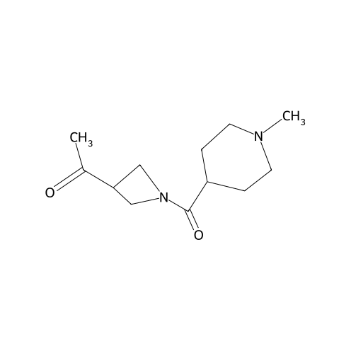 CC(=O)C1CN(C(=O)C2CCN(C)CC2)C1